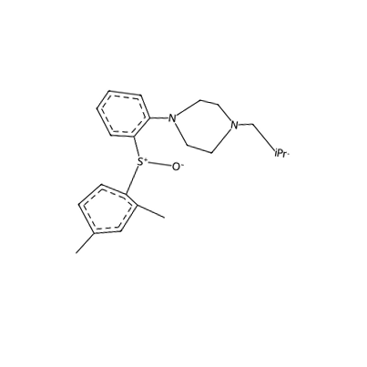 C[C](C)CN1CCN(c2ccccc2[S+]([O-])c2ccc(C)cc2C)CC1